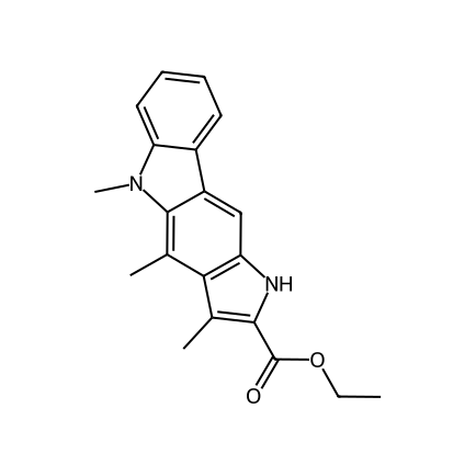 CCOC(=O)c1[nH]c2cc3c4ccccc4n(C)c3c(C)c2c1C